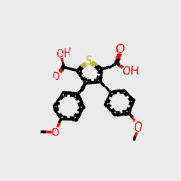 COc1ccc(-c2c(C(=O)O)sc(C(=O)O)c2-c2ccc(OC)cc2)cc1